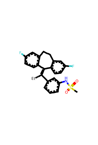 CCC(=C1c2ccc(F)cc2CCc2cc(F)ccc21)c1cccc(NS(C)(=O)=O)c1